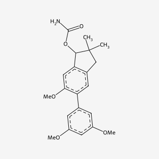 COc1cc(OC)cc(-c2cc3c(cc2OC)C(OC(N)=O)C(C)(C)C3)c1